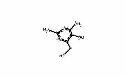 Nc1nc(N)c(N=O)c(CS)n1